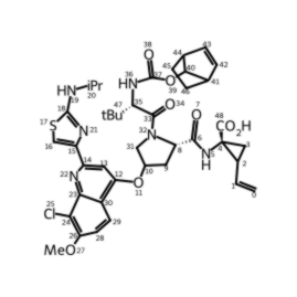 C=CC1C[C@]1(NC(=O)[C@@H]1CC(Oc2cc(-c3csc(NC(C)C)n3)nc3c(Cl)c(OC)ccc23)CN1C(=O)[C@@H](NC(=O)OC1C2C=CC1CC2)C(C)(C)C)C(=O)O